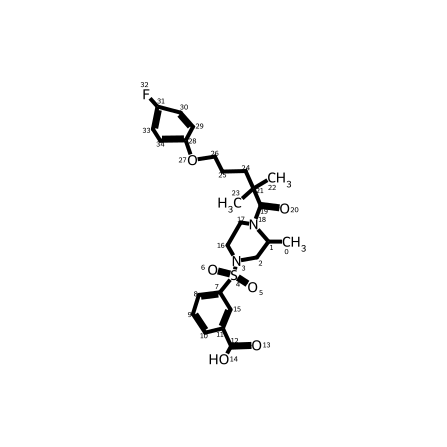 CC1CN(S(=O)(=O)c2cccc(C(=O)O)c2)CCN1C(=O)C(C)(C)CCCOc1ccc(F)cc1